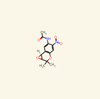 CC(=O)Nc1cc2c(cc1[N+](=O)[O-])OC(C)(C)C1O[C@@H]21